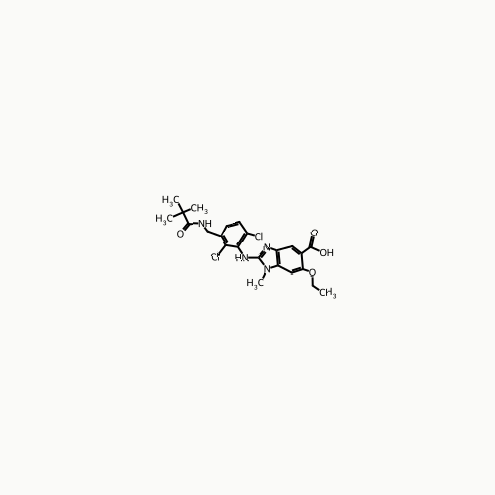 CCOc1cc2c(cc1C(=O)O)nc(Nc1c(Cl)ccc(CNC(=O)C(C)(C)C)c1Cl)n2C